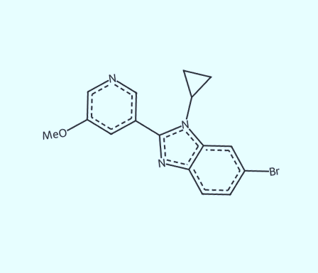 COc1cncc(-c2nc3ccc(Br)cc3n2C2CC2)c1